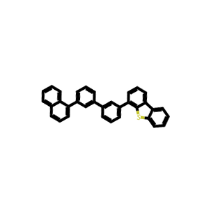 c1cc(-c2cccc(-c3cccc4c3sc3ccccc34)c2)cc(-c2cccc3ccccc23)c1